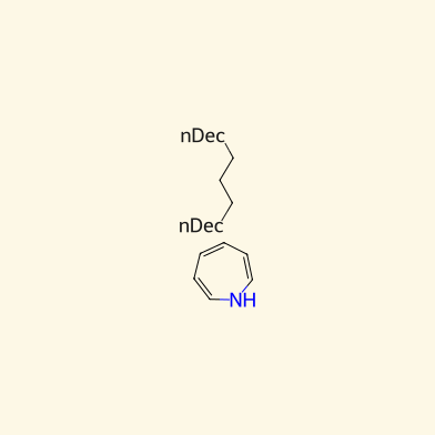 C1=CC=CNC=C1.CCCCCCCCCCCCCCCCCCCCCCC